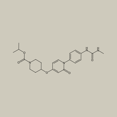 CNC(=O)Nc1ccc(-n2ccc(OC3CCN(C(=O)OC(C)C)CC3)cc2=O)cc1